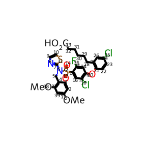 COc1ccc(CN(c2nccs2)S(=O)(=O)c2cc(Cl)c(Oc3ccc(Cl)cc3CCCCCC(=O)O)cc2F)c(OC)c1